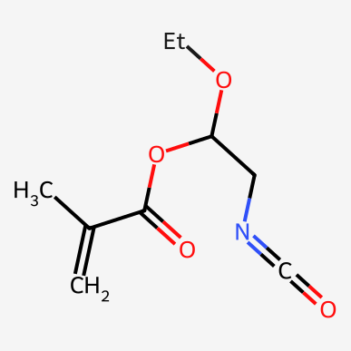 C=C(C)C(=O)OC(CN=C=O)OCC